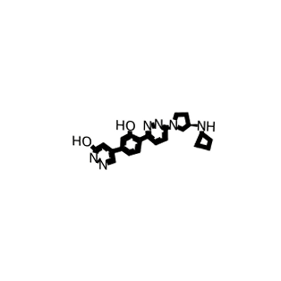 Oc1cc(-c2ccc(-c3ccc(N4CC[C@@H](NC5CCC5)C4)nn3)c(O)c2)cnn1